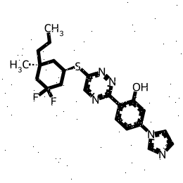 CCC[C@@]1(C)C[C@@H](Sc2cnc(-c3ccc(-n4ccnc4)cc3O)nn2)CC(F)(F)C1